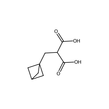 O=C(O)C(CC12CC(C1)C2)C(=O)O